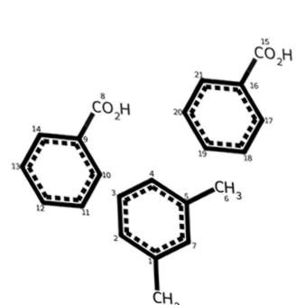 Cc1cccc(C)c1.O=C(O)c1ccccc1.O=C(O)c1ccccc1